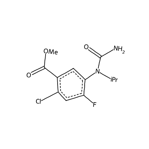 COC(=O)c1cc(N(C(N)=O)C(C)C)c(F)cc1Cl